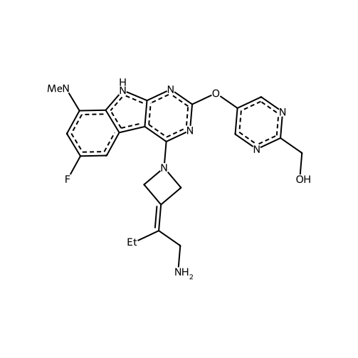 CCC(CN)=C1CN(c2nc(Oc3cnc(CO)nc3)nc3[nH]c4c(NC)cc(F)cc4c23)C1